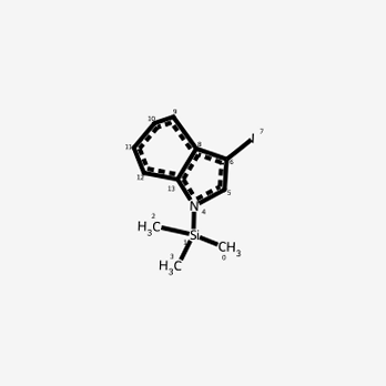 C[Si](C)(C)n1cc(I)c2ccccc21